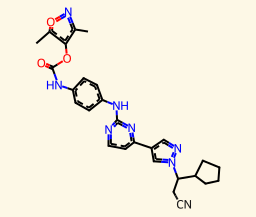 Cc1noc(C)c1OC(=O)Nc1ccc(Nc2nccc(-c3cnn(C(CC#N)C4CCCC4)c3)n2)cc1